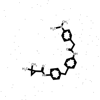 CN(C)c1ccc(CC(=O)Nc2ccc(Cc3ccc(NC(=O)C4CC4(C)C)cc3)cc2)cc1